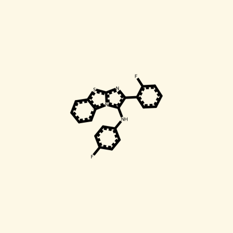 Fc1ccc(Nc2c(-c3ccccc3F)nc3sc4ccccc4n23)cc1